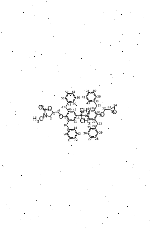 CN1CC(COc2c(Cc3ccccc3)cc(C(C)(C)c3cc(Cc4ccccc4)c(OCC4CO4)c(Cc4ccccc4)c3)cc2Cc2ccccc2)OC1=O